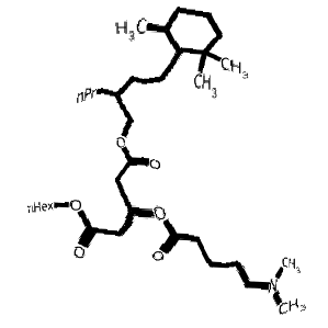 CCCCCCOC(=O)CC(CC(=O)OCC(CCC)CCC1C(C)CCCC1(C)C)OC(=O)CCCCN(C)C